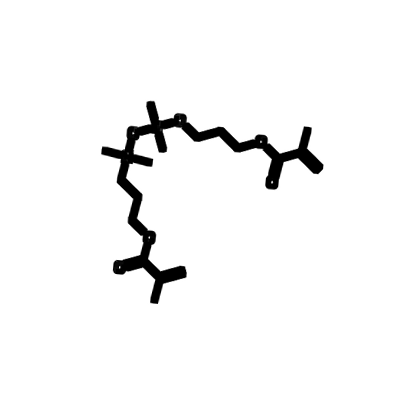 C=C(C)C(=O)OCCCO[Si](C)(C)O[Si](C)(C)CCCOC(=O)C(=C)C